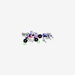 COC[C@H](NC(=O)[C@H](C)NCc1ccc(Cl)cc1Oc1ccc(-n2cnc([C@@H](C)N(C)C)c2C)cc1)C(=O)N(C)[C@H](CC(=O)O)Cc1ccc(Cl)cc1